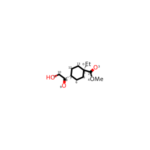 CC[C@]1(C(=O)OC)CC[C@H](C(=O)CO)CC1